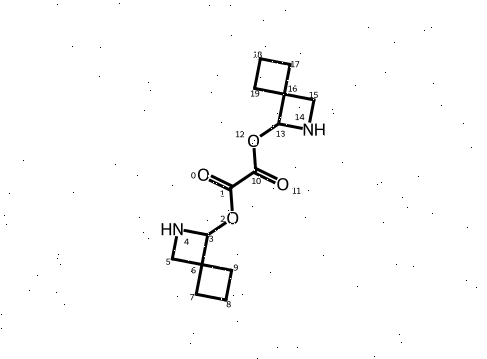 O=C(OC1NCC12CCC2)C(=O)OC1NCC12CCC2